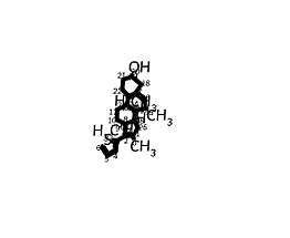 CC1=C(c2cccs2)[C@@]2(C)CC[C@H]3[C@@H]([C@@H](C)C=C4C[C@@H](O)CC[C@@]43C)[C@@H]2C1